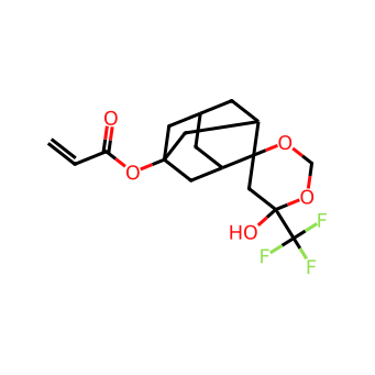 C=CC(=O)OC12CC3CC(C1)C1(CC(O)(C(F)(F)F)OCO1)C(C3)C2